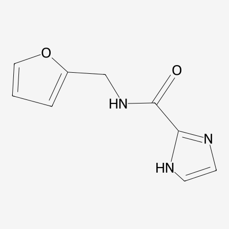 O=C(NCc1ccco1)c1ncc[nH]1